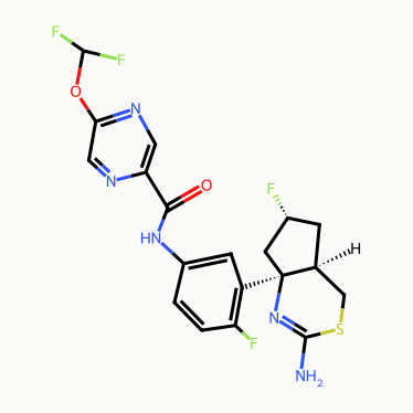 NC1=N[C@@]2(c3cc(NC(=O)c4cnc(OC(F)F)cn4)ccc3F)C[C@H](F)C[C@H]2CS1